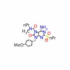 CCCN(C)C(=O)n1c(=O)n(Cc2ccc(OC)cc2)c2nc(S(=O)(=O)CCC)nc(N)c21